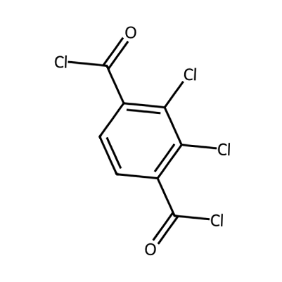 O=C(Cl)c1ccc(C(=O)Cl)c(Cl)c1Cl